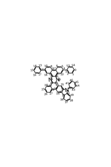 c1ccc(-c2ccc3c4ccc(-c5ccccc5)cc4c4nc(-c5ccccc5-c5ccc6c(c5)c5ccccc5n6-c5ccccc5)cnc4c3c2)cc1